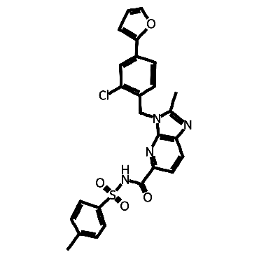 Cc1ccc(S(=O)(=O)NC(=O)c2ccc3nc(C)n(Cc4ccc(-c5ccco5)cc4Cl)c3n2)cc1